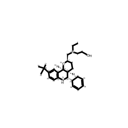 CCN(CCO)C[C@H]1CC[C@@H]2[C@H](O1)c1cc(C(C)(C)C)ccc1N[C@H]2C1C=CC=CC1